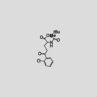 COC(=O)C(CCC(=O)c1ccccc1Cl)NC(=O)OC(C)(C)C